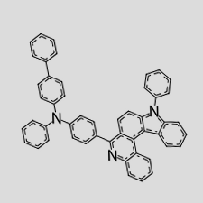 c1ccc(-c2ccc(N(c3ccccc3)c3ccc(-c4nc5ccccc5c5c4ccc4c5c5ccccc5n4-c4ccccc4)cc3)cc2)cc1